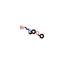 BrCCCn1ccc2cc(OCc3ccccc3)ccc21